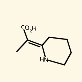 CC(C(=O)O)=C1CCCCN1